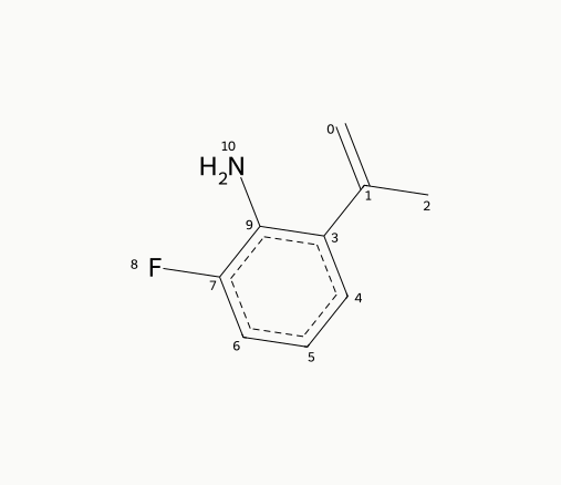 C=C(C)c1cccc(F)c1N